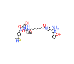 Cc1ncsc1-c1ccc(CNC(=O)[C@@H]2C[C@@H](O)CN2C(=O)[C@@H](NC(=O)CCCCCCCCC(=O)N2CC=C(c3cc(-c4ccccc4O)nnc3N)CC2)C(C)(C)C)cc1